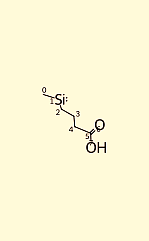 C[Si]CCCC(=O)O